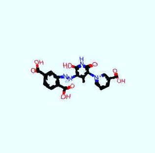 Cc1c(/N=N/c2cc(C(=O)O)ccc2C(=O)O)c(O)[nH]c(=O)c1-[n+]1cccc(C(=O)O)c1